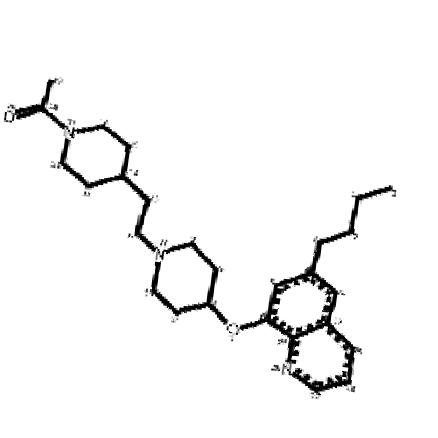 CCCCc1cc(OC2CCN(CCC3CCN(C(C)=O)CC3)CC2)c2ncccc2c1